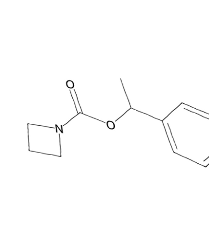 CC(OC(=O)N1CCC1)c1ccccc1